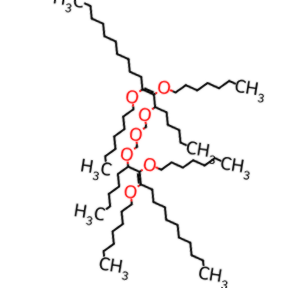 CCCCCCCCCCC(OCCCCCCC)=C(OCCCCCCC)C(CCCCC)OCOCOC(CCCCC)C(OCCCCCCC)=C(CCCCCCCCCC)OCCCCCCC